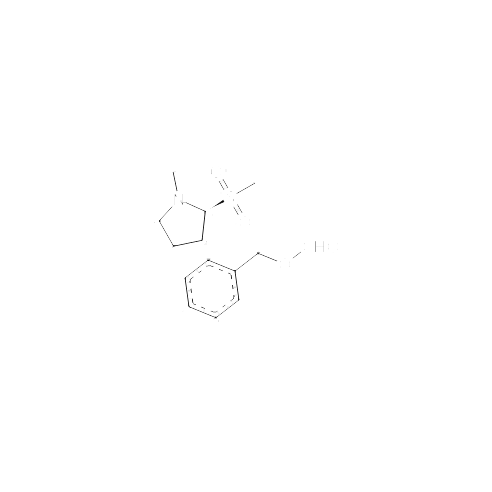 CN1CCC[C@@H]1S(C)(=O)=O.O=COCc1ccccc1